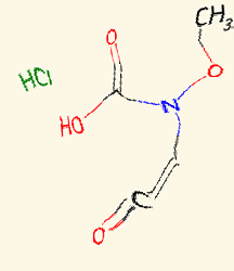 CON(C=C=O)C(=O)O.Cl